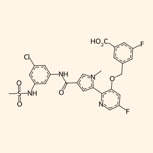 Cn1cc(C(=O)Nc2cc(Cl)cc(NS(C)(=O)=O)c2)cc1-c1ncc(F)cc1OCc1cc(F)cc(C(=O)O)c1